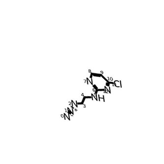 [N-]=[N+]=NCCNc1nccc(Cl)n1